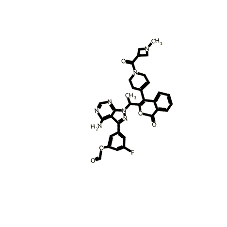 CC(c1oc(=O)c2ccccc2c1C1=CCN(C(=O)C2CN(C)C2)CC1)n1nc(-c2cc(F)cc(OC=O)c2)c2c(N)ncnc21